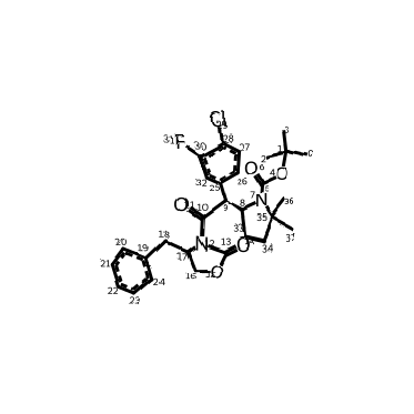 CC(C)(C)OC(=O)N1C([C@@H](C(=O)N2C(=O)OCC2Cc2ccccc2)c2ccc(Cl)c(F)c2)CCC1(C)C